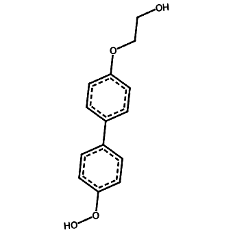 OCCOc1ccc(-c2ccc(OO)cc2)cc1